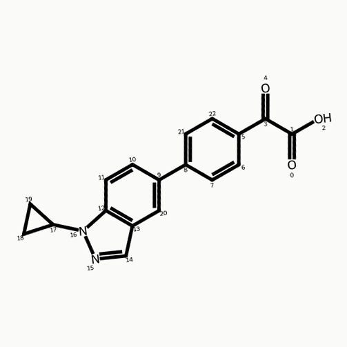 O=C(O)C(=O)c1ccc(-c2ccc3c(cnn3C3CC3)c2)cc1